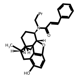 CC(C)CN(C(=O)C=Cc1ccccc1)[C@@H]1CC[C@H]2[C@H]3Cc4c(O)ccc5c4[C@@]2(CCN3C)[C@H]1O5